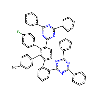 N#Cc1ccc(-c2c(-c3ccccc3-c3nc(-c4ccccc4)nc(-c4ccccc4)n3)ccc(-c3nc(-c4ccccc4)nc(-c4ccccc4)n3)c2-c2ccc(F)cc2)cc1